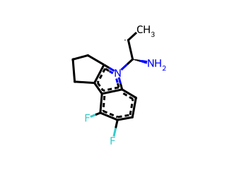 C[CH][C@@H](N)n1c2c(c3c(F)c(F)ccc31)CCC2